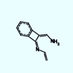 C=C/N=C1\C(=C/N)c2ccccc21